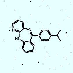 CC(C)c1ccc(C2=Nc3cccnc3Nc3ccccc32)cc1